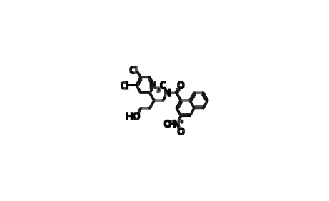 CN(CC(CCO)c1ccc(Cl)c(Cl)c1)C(=O)c1cc([N+](=O)[O-])cc2ccccc12